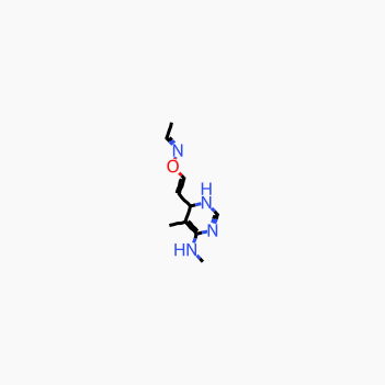 C/C=N/O/C=C/C1NC=NC(NC)=C1C